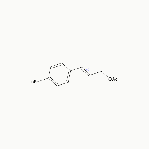 CCCc1ccc(/C=C/COC(C)=O)cc1